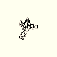 Cc1nnc2n1-c1cn(C)nc1C(c1ccc(Cl)cc1)=N[C@H]2CC(=O)N1CCS(=O)(=O)CC1